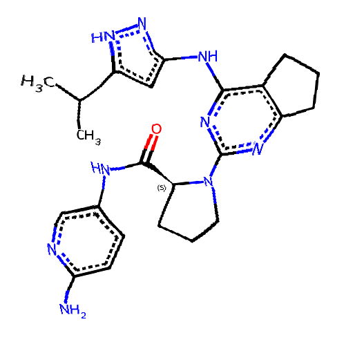 CC(C)c1cc(Nc2nc(N3CCC[C@H]3C(=O)Nc3ccc(N)nc3)nc3c2CCC3)n[nH]1